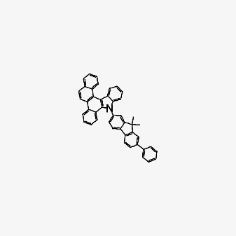 CC1(C)c2cc(-c3ccccc3)ccc2-c2ccc(-n3c4ccccc4c4c5c6ccccc6ccc5c5ccccc5c43)cc21